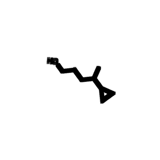 CC(C[CH]CO)C1CC1